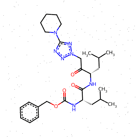 CC(C)C[C@H](NC(=O)[C@H](CC(C)C)NC(=O)OCc1ccccc1)C(=O)Cn1nnc(N2CCCCC2)n1